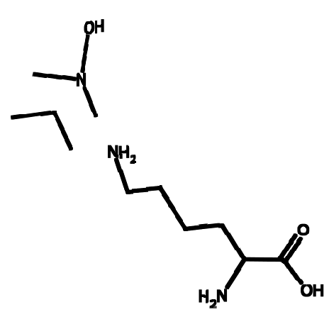 CCC.CN(C)O.NCCCCC(N)C(=O)O